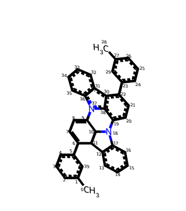 Cc1cccc(C2=CC=C3C4C2c2ccccc2N4c2ccc(-c4cccc(C)c4)c4c5ccccc5n3c24)c1